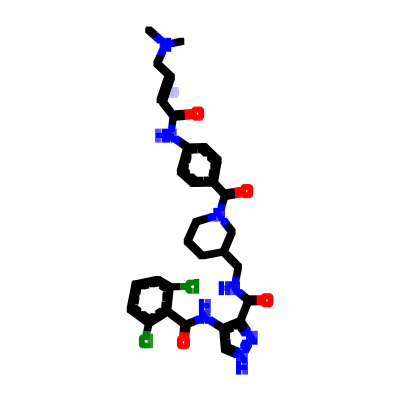 CN(C)C/C=C/C(=O)Nc1ccc(C(=O)N2CCCC(CNC(=O)c3n[nH]cc3NC(=O)c3c(Cl)cccc3Cl)C2)cc1